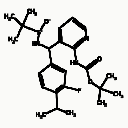 CC(C)c1ccc(C(N[S+]([O-])C(C)(C)C)c2cccnc2NC(=O)OC(C)(C)C)cc1F